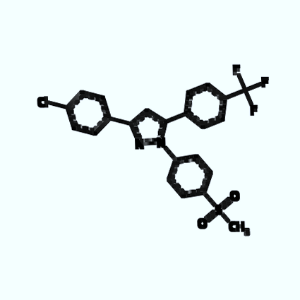 CS(=O)(=O)c1ccc(-n2nc(-c3ccc(Cl)cc3)cc2-c2ccc(C(F)(F)F)cc2)cc1